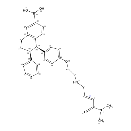 CN(C)C(=O)/C=C/CNCCOc1ccc([C@@H]2c3ccc(B(O)O)cc3CC[C@@H]2c2ccccc2)cc1